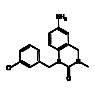 CN1Cc2cc(N)ccc2N(Cc2cccc(Cl)c2)C1=O